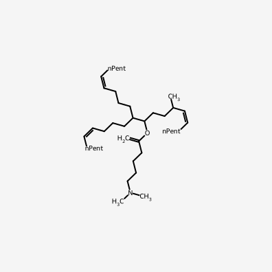 C=C(CCCCN(C)C)OC(CCC(C)/C=C\CCCCC)C(CCC/C=C\CCCCC)CCC/C=C\CCCCC